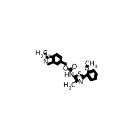 COc1ccccc1-c1nc(C)c(NC(=O)OCc2ccc3c(cnn3C)c2)s1